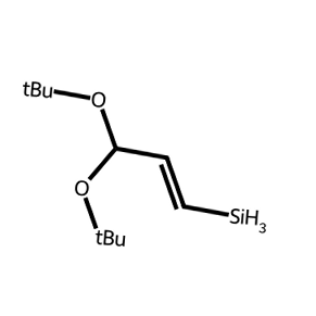 CC(C)(C)OC(C=C[SiH3])OC(C)(C)C